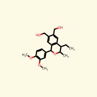 CCC1c2cc(CO)c(CO)cc2C(c2ccc(OC)c(OC)c2)OC1C